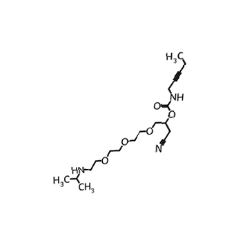 CCC#CCNC(=O)OC(CC#N)COCCOCCOCCNC(C)C